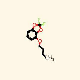 CCCCOc1cccc2c1OC(F)(F)O2